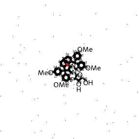 COc1ccc(C(c2ccccc2)(c2ccc(OC)cc2)c2cn([C@H]3O[C@@H](CO)C(O)C3F)c(=O)n(C(c3ccccc3)(c3ccc(OC)cc3)c3ccc(OC)cc3)c2=O)cc1